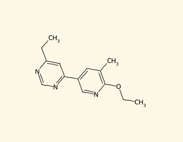 CCOc1ncc(-c2cc(CC)ncn2)cc1C